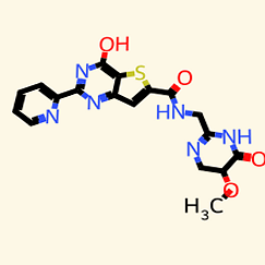 COC1CN=C(CNC(=O)c2cc3nc(-c4ccccn4)nc(O)c3s2)NC1=O